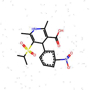 CC1=C(C(=O)O)C(c2cccc([N+](=O)[O-])c2)C(S(=O)(=O)C(C)C)=C(C)N1